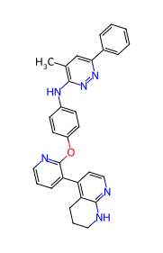 Cc1cc(-c2ccccc2)nnc1Nc1ccc(Oc2ncccc2-c2ccnc3c2CCCN3)cc1